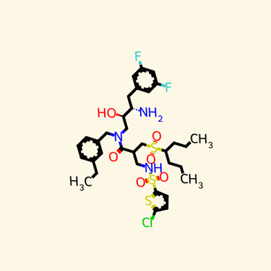 CCCC(CCC)S(=O)(=O)CC(CNS(=O)(=O)c1ccc(Cl)s1)C(=O)N(Cc1cccc(CC)c1)C[C@@H](O)[C@@H](N)Cc1cc(F)cc(F)c1